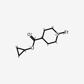 CCN1CCC(C(=O)OC2CC2)CC1